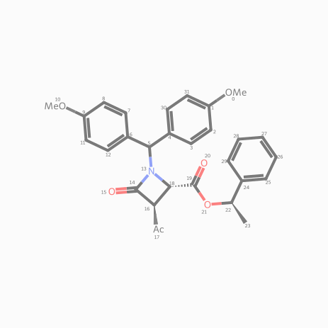 COc1ccc(C(c2ccc(OC)cc2)N2C(=O)[C@H](C(C)=O)[C@H]2C(=O)O[C@H](C)c2ccccc2)cc1